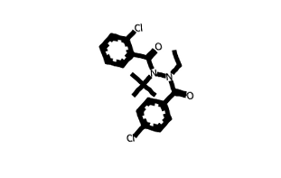 CCN(C(=O)c1ccc(Cl)cc1)N(C(=O)c1ccccc1Cl)C(C)(C)C